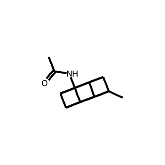 CC(=O)NC12C3C4C1C1C2C3C41C